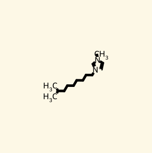 CC(C)CCCCCCC[n+]1ccn(C)c1